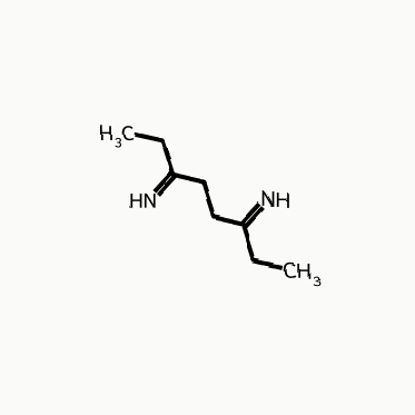 CCC(=N)CCC(=N)CC